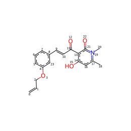 C=CCOc1cccc(C=CC(=O)c2c(O)cc(C)n(C)c2=O)c1